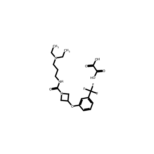 CCN(CC)CCCNC(=O)N1CC(Oc2cccc(C(F)(F)F)c2)C1.O=C(O)C(=O)O